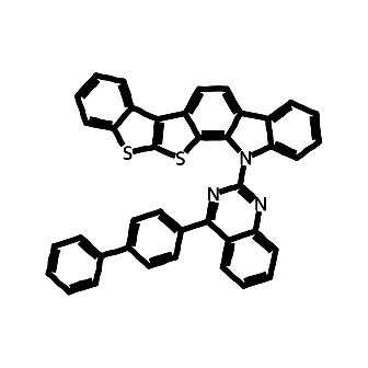 c1ccc(-c2ccc(-c3nc(-n4c5ccccc5c5ccc6c(sc7sc8ccccc8c76)c54)nc4ccccc34)cc2)cc1